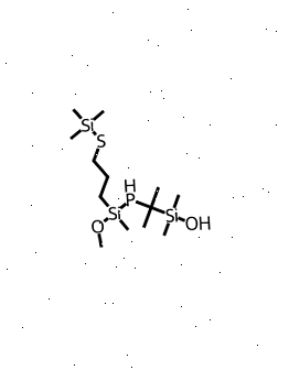 CO[Si](C)(CCCS[Si](C)(C)C)PC(C)(C)[Si](C)(C)O